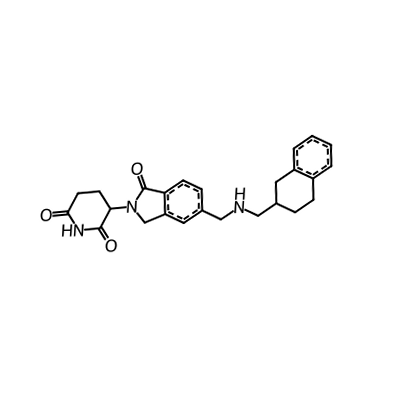 O=C1CCC(N2Cc3cc(CNCC4CCc5ccccc5C4)ccc3C2=O)C(=O)N1